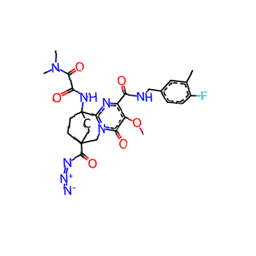 COc1c(C(=O)NCc2ccc(F)c(C)c2)nc2n(c1=O)CC1(C(=O)N=[N+]=[N-])CCC2(NC(=O)C(=O)N(C)C)CC1